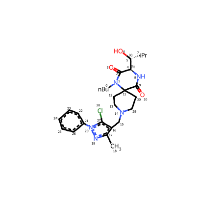 CCCCN1C(=O)[C@@H]([C@H](O)C(C)C)NC(=O)C12CCN(Cc1c(C)nn(-c3ccccc3)c1Cl)CC2